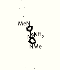 CNc1ccc(-c2nc3cc(NC)ccc3n2N)cc1